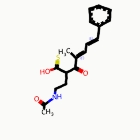 CC(=O)NCCC(C(=O)/C(C)=C/C=C/c1ccccc1)C(O)=S